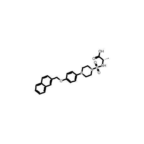 C[C@H](NS(=O)(=O)N1CCN(c2ccc(OCc3ccc4ccccc4c3)cc2)CC1)C(=O)O